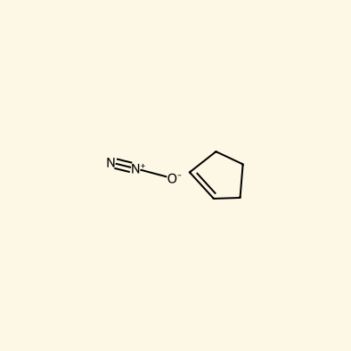 C1=CCCC1.N#[N+][O-]